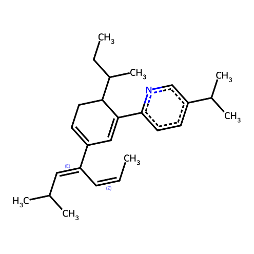 C/C=C\C(=C/C(C)C)C1=CCC(C(C)CC)C(c2ccc(C(C)C)cn2)=C1